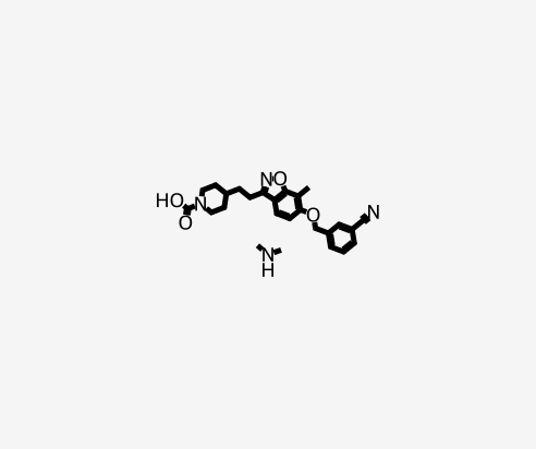 CNC.Cc1c(OCc2cccc(C#N)c2)ccc2c(CCC3CCN(C(=O)O)CC3)noc12